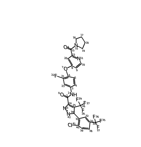 O=C(Nc1ccc(Oc2ccnc(C(=O)N3CCCC3)c2)c(F)c1)C1=C(C(F)(F)F)C(c2cc(C(F)(F)F)ccc2Cl)N=N1